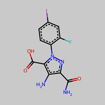 NC(=O)c1nn(-c2ccc(I)cc2F)c(C(=O)O)c1N